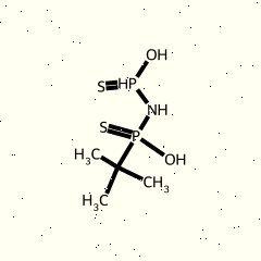 CC(C)(C)P(O)(=S)N[PH](O)=S